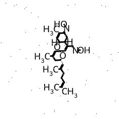 CC(C)=CCC/C(C)=C/[C@@H]1CC(C)=C[C@]2(C=C(/C=N/O)[C@H]3C/C(=N/O)C(C)=C[C@H]3O2)O1